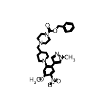 COc1cc(N2CCC(CN3CCN(C(=O)OCc4ccccc4)CC3)CC2)c(-c2cnn(C)c2)cc1[N+](=O)[O-]